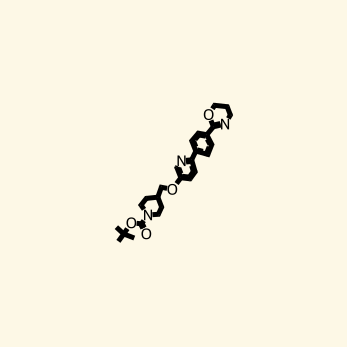 CC(C)(C)OC(=O)N1CCC(COc2ccc(-c3ccc(C4=NCCCO4)cc3)nc2)CC1